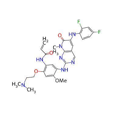 C=CC(=O)Nc1cc(Nc2ncc3cc(Nc4ccc(F)cc4F)c(=O)n(C)c3n2)c(OC)cc1OCCN(C)C